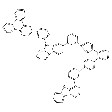 C1=CC(c2ccc3c4ccccc4c4ccc(-c5cccc(-c6ccc7c8ccccc8n(-c8cccc(-c9ccc%10c%11ccccc%11c%11ccccc%11c%10c9)c8)c7c6)c5)cc4c3c2)CC(c2cccc3c2sc2ccccc23)=C1